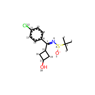 CC(C)(C)[S@+]([O-])N=C(c1ccc(Cl)cc1)C1CC(O)C1